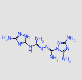 N/C(=N\N=C(/N)n1nc(N)nc1N)Nc1nc(N)n[nH]1